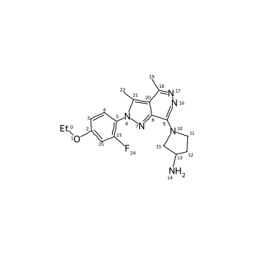 CCOc1ccc(-n2nc3c(N4CCC(N)C4)nnc(C)c3c2C)c(F)c1